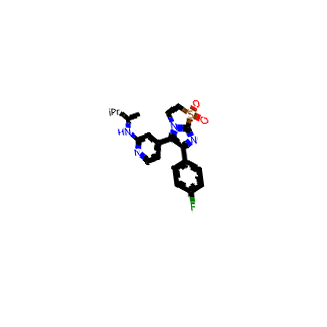 CC(C)C(C)Nc1cc(-c2c(-c3ccc(F)cc3)nc3n2CCS3(=O)=O)ccn1